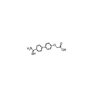 N=C(N)c1ccc(-c2ccc(OCC(=O)O)cc2)cc1